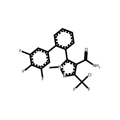 Cn1nc(C(F)(F)Cl)c(C(N)=O)c1-c1ccccc1-c1cc(F)c(F)c(F)c1